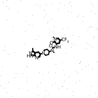 Cc1n[nH]c2ncc(N3CCC(N(C)C(=O)Nc4cc(C(F)(F)F)cn(C)c4=O)CC3)cc12